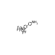 Nc1ccc(-c2ccc(N(OC(F)(F)F)OC(F)(F)F)cc2)cc1